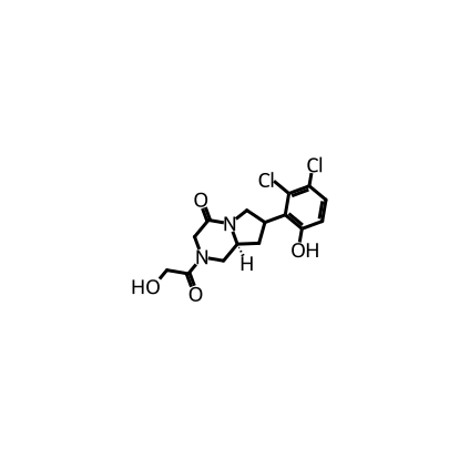 O=C(CO)N1CC(=O)N2CC(c3c(O)ccc(Cl)c3Cl)C[C@H]2C1